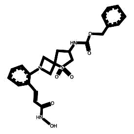 O=C(/C=C/c1ccccc1N1CC2(CC(NC(=O)OCc3ccccc3)CS2(=O)=O)C1)NO